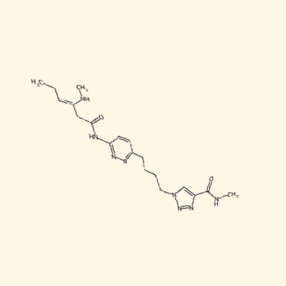 CC/C=C(/CC(=O)Nc1ccc(CCCCn2cc(C(=O)NC)nn2)nn1)NC